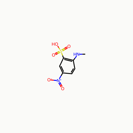 CNc1ccc([N+](=O)[O-])cc1S(=O)(=O)O